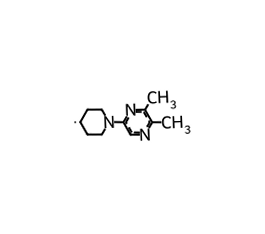 Cc1ncc(N2CC[CH]CC2)nc1C